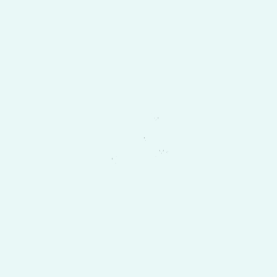 CCCC(Cl)[SiH](OC)OC